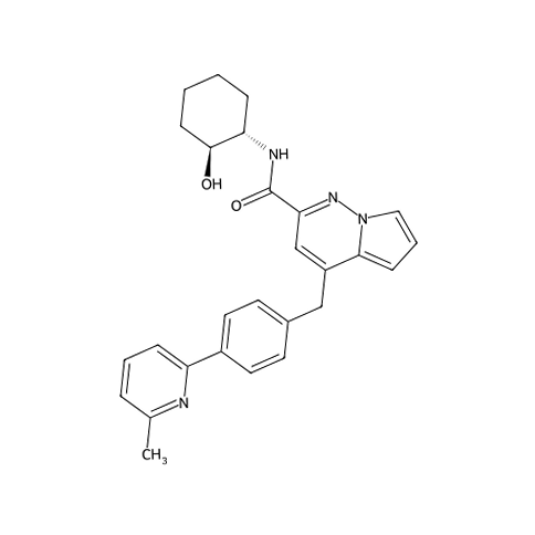 Cc1cccc(-c2ccc(Cc3cc(C(=O)N[C@H]4CCCC[C@@H]4O)nn4cccc34)cc2)n1